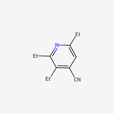 CCc1cc(C#N)c(CC)c(CC)n1